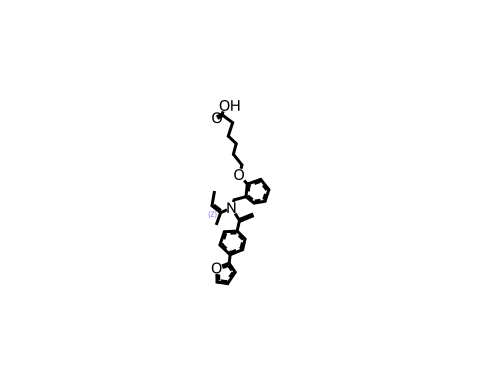 C=C(c1ccc(-c2ccco2)cc1)N(Cc1ccccc1OCCCCCC(=O)O)/C(C)=C\C